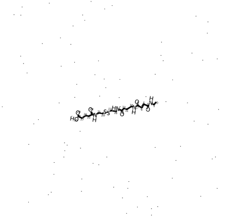 CCNC(=O)C=CC(=O)NCCCC(=O)NCCSSCCNC(=O)CCCC(=O)O